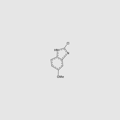 COc1ccc2[nH]c(Cl)nc2c1